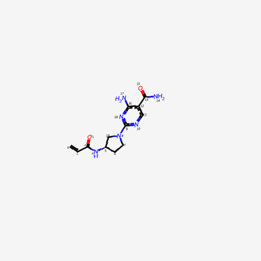 C=CC(=O)N[C@@H]1CCN(c2ncc(C(N)=O)c(N)n2)C1